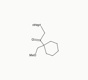 CCCCCCCCC(=O)C1(COC)CCCCC1